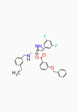 CCc1cccc(CNC[C@@H](OC(=O)c2cccc(OCc3ccccc3)c2)[C@@H](N)Cc2cc(F)cc(F)c2)c1